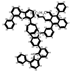 C=CC/C=c1/c(-c2cccc(N3C4=C=C(C=CC(c5cccc6c5sc5c(-c7ccccc7)cccc56)=C4)c4ccc(-c5cccc6c5sc5c(-c7ccccc7)cccc56)cc43)c2)c2ccccc2c(-c2ccccc2)/c1=C/C